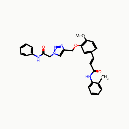 COc1ccc(/C=C/C(=O)Nc2ccccc2C)cc1OCc1cn(CC(=O)Nc2ccccc2)nn1